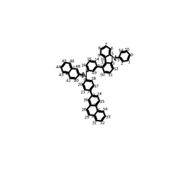 c1ccc(-n2c3ccccc3c3c(-c4cccc(N(c5ccc(-c6ccc7c(ccc8ccccc87)c6)cc5)c5ccc6ccccc6c5)c4)cccc32)cc1